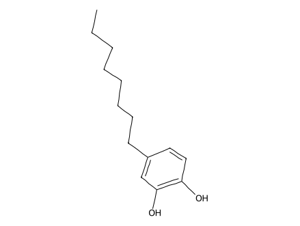 CCCCCCCCc1ccc(O)c(O)c1